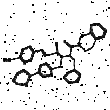 COc1ccc(C=CC(=O)N(Cc2ccc(-c3ccccn3)cc2)C(Cc2ccccc2)C(=O)N2CCc3ccccc3C2)cn1